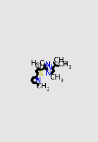 CCC(CC)c1cc(C)nc2c(-c3sc(-c4cccc(C)n4)cc3C)c(C)nn12